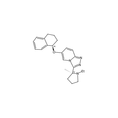 CCN1CCC[C@@]1(C)c1nnc2ccc(O[C@@H]3CCCc4ccccc43)cn12